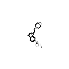 COc1ccc2[c]cn(CCN3CCOCC3)c2c1